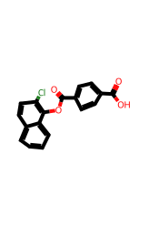 O=C(O)c1ccc(C(=O)Oc2c(Cl)ccc3ccccc23)cc1